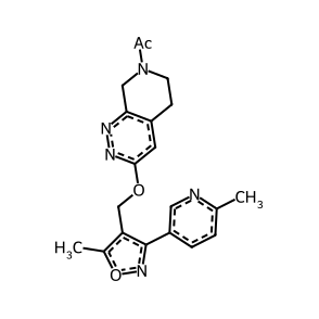 CC(=O)N1CCc2cc(OCc3c(-c4ccc(C)nc4)noc3C)nnc2C1